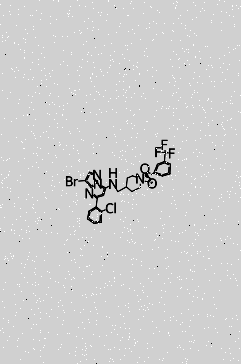 O=S(=O)(c1cccc(C(F)(F)F)c1)N1CCC(CNc2cc(-c3ccccc3Cl)nc3c(Br)cnn23)CC1